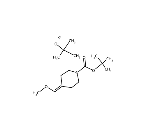 CC(C)(C)[O-].COC=C1CCN(C(=O)OC(C)(C)C)CC1.[K+]